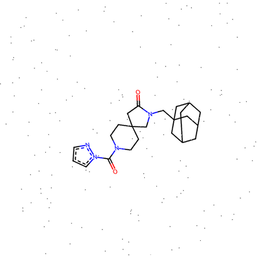 O=C1CC2(CCN(C(=O)n3cccn3)CC2)CN1CC12CC3CC(CC(C3)C1)C2